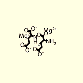 NC(CCC(=O)[O-])C(=O)[O-].NC(CCC(=O)[O-])C(=O)[O-].[Mg+2].[Mg+2]